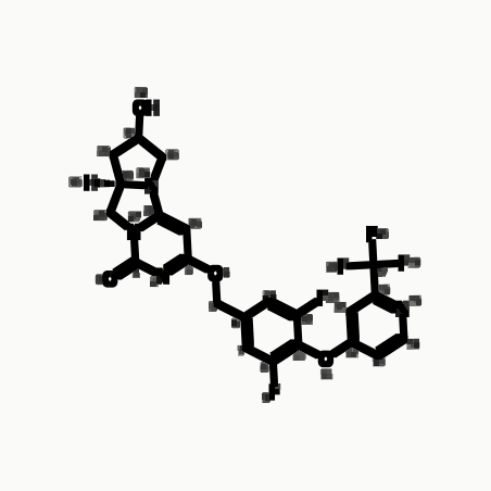 O=c1nc(OCc2cc(F)c(Oc3ccnc(C(F)(F)F)c3)c(F)c2)cc2n1C[C@H]1CC(O)CN21